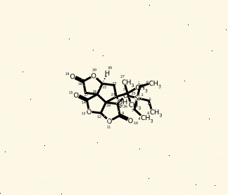 CC[Si](CC)(CC)O[C@H]1C(=O)OC2OC(=O)C34CC(=O)O[C@H]3C[C@@](O)(C(C)(C)C)C214